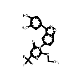 CCOc1nc(C(F)(F)F)cc(=O)n1-c1ccc2snc(-c3ccc(O)c(C)c3)c2c1